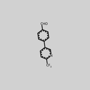 O=Cc1ccc(-c2ccc(C(F)(F)F)nc2)cc1